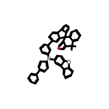 CC1(C)c2ccccc2C2(c3ccccc3-c3ccc(-c4cccc(N(c5ccc(-c6ccccc6)cc5)c5ccc6oc7ccccc7c6c5)c4)cc32)c2ccccc21